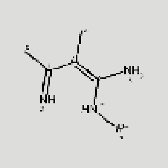 CC(=N)/C(C)=C(/N)NC(C)C